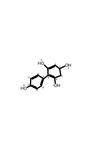 OC1=CC(O)[CH]C(O)=C1c1ccc(O)cc1